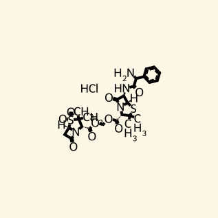 CC1(C)S[C@@H]2[C@H](NC(=O)C(N)c3ccccc3)C(=O)N2[C@H]1C(=O)OCOC(=O)[C@@H]1N2C(=O)C[C@H]2S(=O)(=O)C1(C)C.Cl